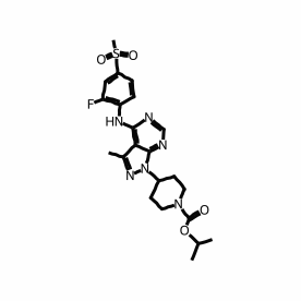 Cc1nn(C2CCN(C(=O)OC(C)C)CC2)c2ncnc(Nc3ccc(S(C)(=O)=O)cc3F)c12